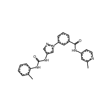 Cc1cc(NC(=O)c2cccc(-n3cc(NC(=O)Nc4ccccc4C)cn3)c2)ccn1